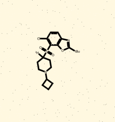 [2H]C1(S(=O)(=O)c2c(Cl)ccc3nc(C(C)(C)C)oc23)CCN(C2CCC2)CC1